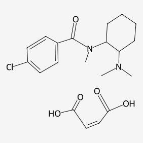 CN(C)C1CCCCC1N(C)C(=O)c1ccc(Cl)cc1.O=C(O)/C=C\C(=O)O